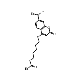 CCC(=O)SCCCCCOc1cc(=O)oc2cc(N(CC)CC)ccc12